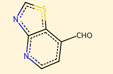 O=Cc1ccnc2ncsc12